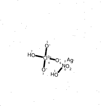 O=[N+]([O-])O.[Ag].[O-][Cl+3]([O-])([O-])O